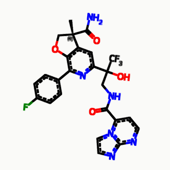 C[C@]1(C(N)=O)COc2c1cc(C(O)(CNC(=O)c1ccnc3nccn13)C(F)(F)F)nc2-c1ccc(F)cc1